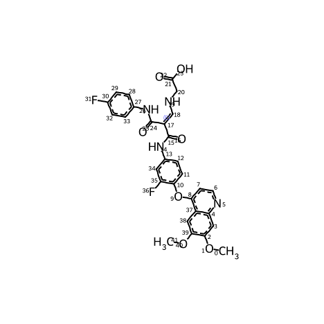 COc1cc2nccc(Oc3ccc(NC(=O)/C(=C/NCC(=O)O)C(=O)Nc4ccc(F)cc4)cc3F)c2cc1OC